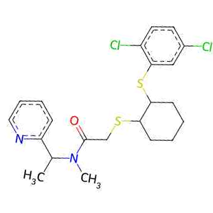 CC(c1ccccn1)N(C)C(=O)CSC1CCCCC1Sc1cc(Cl)ccc1Cl